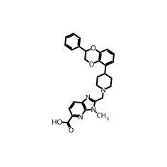 Cn1c(CN2CCC(c3cccc4c3OCC(c3ccccc3)O4)CC2)nc2ccc(C(=O)O)nc21